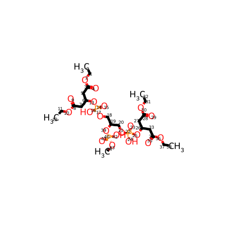 CCOC(=O)CC(CC(=O)OCC)OP(=O)(O)OCC(COP(=O)(O)OC(CC(=O)OCC)CC(=O)OCC)OP(=O)(O)OC